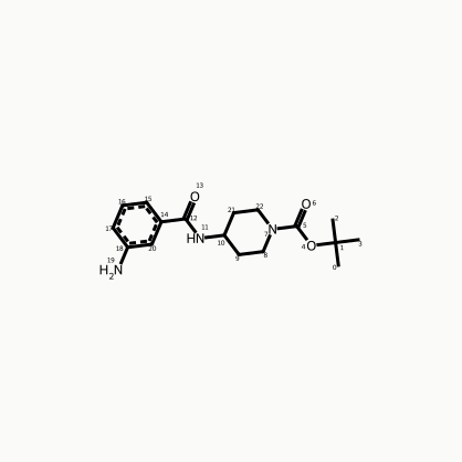 CC(C)(C)OC(=O)N1CCC(NC(=O)c2cccc(N)c2)CC1